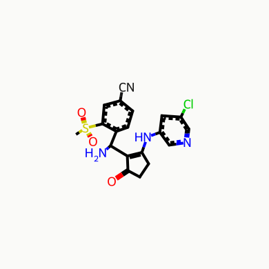 CS(=O)(=O)c1cc(C#N)ccc1C(N)C1=C(Nc2cncc(Cl)c2)CCC1=O